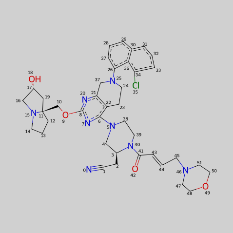 N#CC[C@H]1CN(c2nc(OC[C@@]34CCCN3C[C@H](O)C4)nc3c2CCN(c2cccc4cccc(Cl)c24)C3)CCN1C(=O)/C=C/CN1CCOCC1